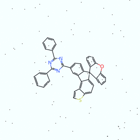 c1ccc(-c2nc(-c3ccccc3)nc(-c3ccc4c(c3)-c3c(ccc5sccc35)C43c4ccccc4Oc4ccccc43)n2)cc1